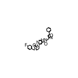 O=C(NCc1cc(C2=CC=CCC2)on1)c1ccnc(N2CCN(CC3=CCC(F)C=C3)C2=O)c1